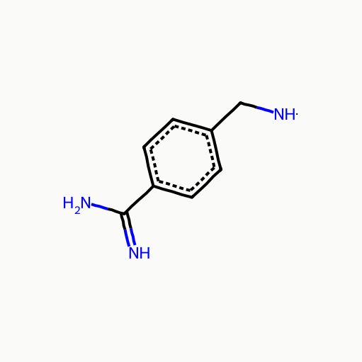 [NH]Cc1ccc(C(=N)N)cc1